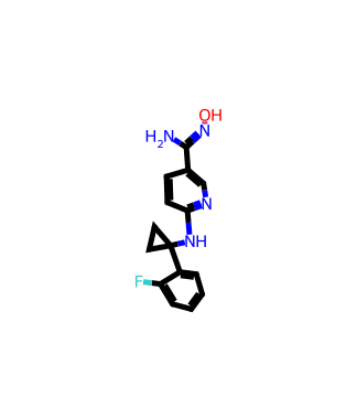 NC(=NO)c1ccc(NC2(c3ccccc3F)CC2)nc1